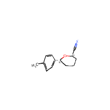 Cc1ccc([C@H]2CCC[C@H](C#N)O2)cc1